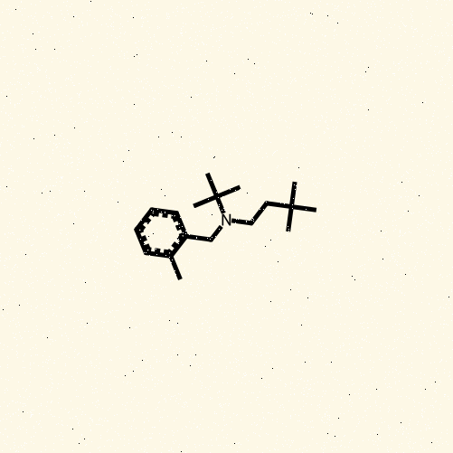 Cc1ccccc1CN(CCC(C)(C)C)C(C)(C)C